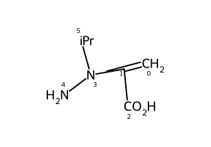 C=C(C(=O)O)N(N)C(C)C